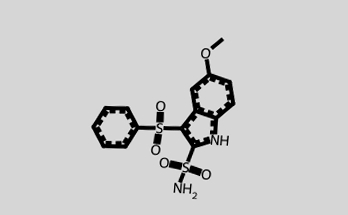 COc1ccc2[nH]c(S(N)(=O)=O)c(S(=O)(=O)c3ccccc3)c2c1